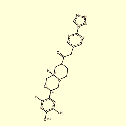 COc1cc(F)c([C@@H]2CN3CCN(C(=O)Cc4cnc(-n5cnnn5)nc4)C[C@H]3CO2)cc1C#N